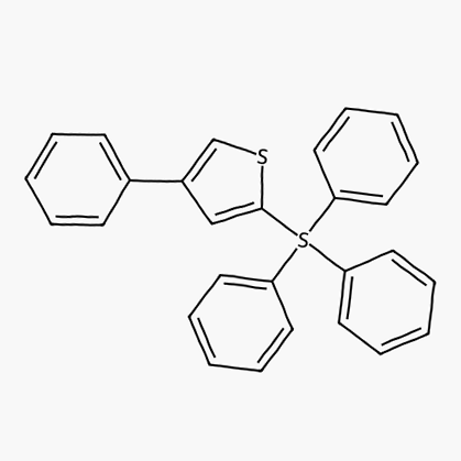 c1ccc(-c2csc(S(c3ccccc3)(c3ccccc3)c3ccccc3)c2)cc1